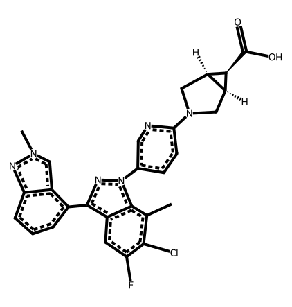 Cc1c(Cl)c(F)cc2c(-c3cccc4nn(C)cc34)nn(-c3ccc(N4C[C@@H]5[C@H](C4)[C@@H]5C(=O)O)nc3)c12